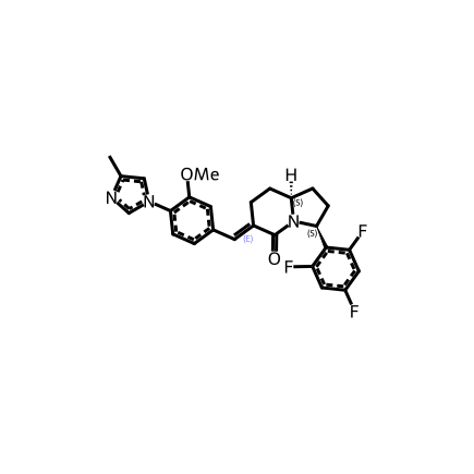 COc1cc(/C=C2\CC[C@H]3CC[C@@H](c4c(F)cc(F)cc4F)N3C2=O)ccc1-n1cnc(C)c1